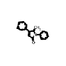 C=C1C(c2ccccc2)=CC(=O)N1c1ccccc1